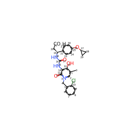 Cc1cn(Cc2ccccc2Cl)c(=O)c(NC(=O)N[C@@H](CC(=O)O)c2ccc(OC3CC3)cc2)c1O